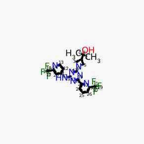 CC(C)(O)C1CN(c2nc(Nc3ccnc(C(F)(F)F)c3)nc(-c3cccc(C(F)(F)F)n3)n2)C1